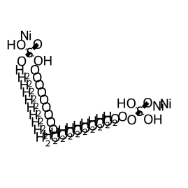 O.O.O.O.O.O.O.O.O.O.O.O.O.O.O.O.O.O.O.O=S(=O)(O)O.O=S(=O)(O)O.[Ni].[Ni].[Ni]